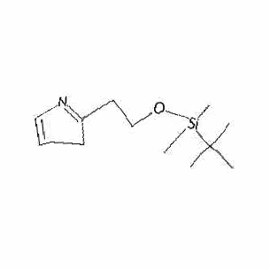 CC(C)(C)[Si](C)(C)OCCC1=NC=CC1